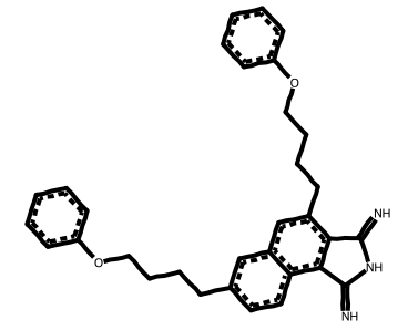 N=C1NC(=N)c2c1c(CCCCOc1ccccc1)cc1cc(CCCCOc3ccccc3)ccc21